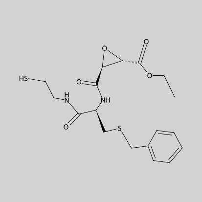 CCOC(=O)[C@H]1O[C@@H]1C(=O)N[C@@H](CSCc1ccccc1)C(=O)NCCS